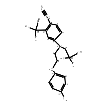 [C-]#[N+]c1ccc(N(CCOc2ccc(F)cc2)CC(F)(F)F)cc1C(F)(F)F